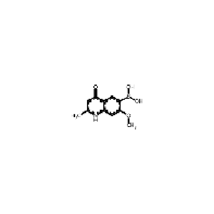 COc1cc2[nH]c(C)cc(=O)c2cc1B(O)O